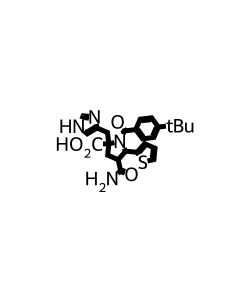 CC(C)(C)c1ccc(C(=O)N2C(c3cccs3)C(C(N)=O)CC2(Cc2c[nH]cn2)C(=O)O)cc1